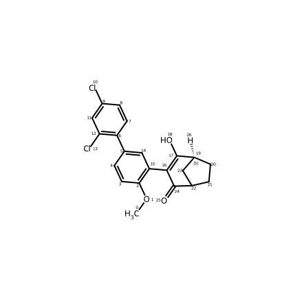 COc1ccc(-c2ccc(Cl)cc2Cl)cc1C1=C(O)[C@H]2CCC(C2)C1=O